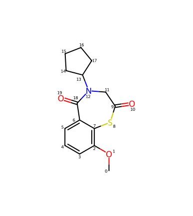 COc1cccc2c1SC(=O)CN(C1CCCC1)C2=O